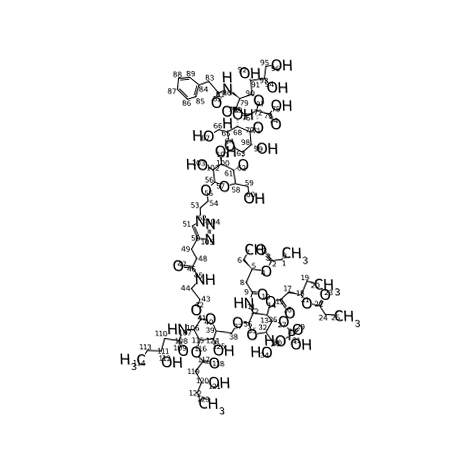 CCC(=O)O[C@H](CC)CC(=O)N[C@H]1C(OC(=O)C[C@@H](CC)OC(=O)CC)[C@H](OP(=O)(O)O)C(CO)O[C@H]1OCC1O[C@H](OCCNC(=O)CCc2cn(CCOC3OC(CO)[C@@H](O[C@@H]4OC(CO)[C@H](O)C(O[C@]5(C(=O)O)C[C@@H](O)[C@@H](NC(=O)Cc6ccccc6)C([C@H](O)[C@H](O)CO)O5)[C@@H]4O)[C@H](O)[C@@H]3O)nn2)C(NC(=O)C[C@H](O)CC)C(OC(=O)C[C@H](O)CC)[C@@H]1O